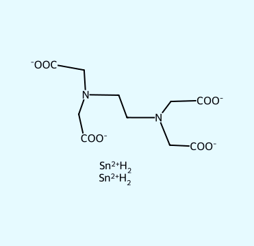 O=C([O-])CN(CCN(CC(=O)[O-])CC(=O)[O-])CC(=O)[O-].[SnH2+2].[SnH2+2]